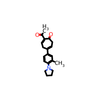 CC(=O)C1=CCC(c2ccc(N3CCCC3)c(C)c2)=CCC1=O